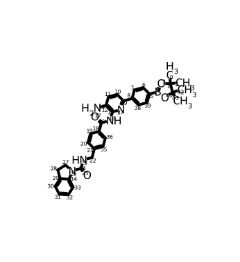 CC1(C)OB(c2ccc(-c3ccc(N)c(NC(=O)c4ccc(CNC(=O)N5CCc6ccccc65)cc4)n3)cc2)OC1(C)C